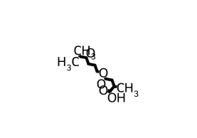 CC(C)C(=O)CCCOC(=O)CC(C)C(=O)O